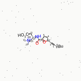 CCCCC#Cc1ccc(C(=O)N[C@H](CC(=O)O)C[N+](C)(C)C)o1